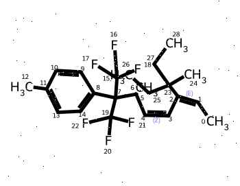 C/C=C(\C=C/C(C)C(c1ccc(C)cc1)(C(F)(F)F)C(F)(F)F)C(C)(CC)CC